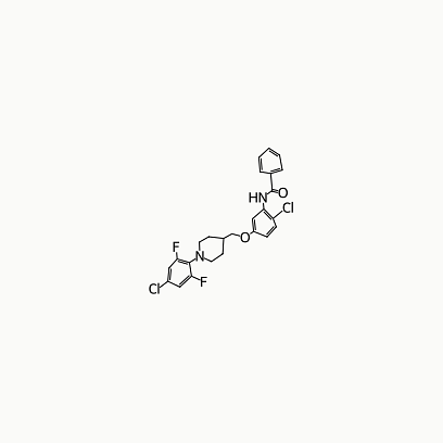 O=C(Nc1cc(OCC2CCN(c3c(F)cc(Cl)cc3F)CC2)ccc1Cl)c1ccccc1